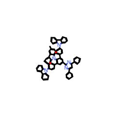 Cc1ccc2c(c1)c1ccccc1n2-c1c(-c2ccc(-n3c4ccccc4c4ccccc43)cc2)cc(-c2nc(-c3ccccc3)cc(-c3ccccc3)n2)cc1-c1ccc(-n2c3ccccc3c3ccccc32)cc1